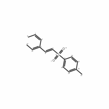 C\C=C/C(/C=C/S(=O)(=O)c1ccc(C)cc1)=C\C